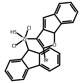 [SH][Zr]([Cl])([Cl])([C]1=C(Br)OC2C1=Cc1ccccc12)[CH]1c2ccccc2-c2ccccc21